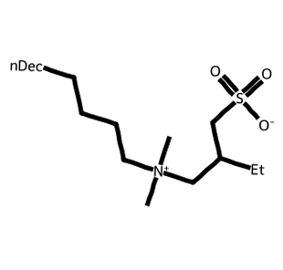 CCCCCCCCCCCCCC[N+](C)(C)CC(CC)CS(=O)(=O)[O-]